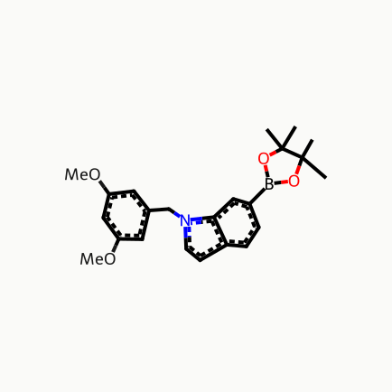 COc1cc(Cn2ccc3ccc(B4OC(C)(C)C(C)(C)O4)cc32)cc(OC)c1